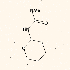 CNC(=O)NC1CCCCO1